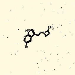 CC1CCN1CCc1c[nH]c2ncc(Br)cc12